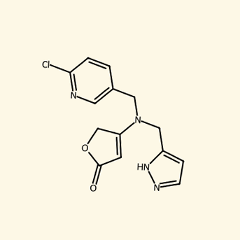 O=C1C=C(N(Cc2ccc(Cl)nc2)Cc2ccn[nH]2)CO1